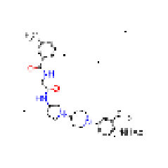 CC(=O)Nc1ccc(N2CCC(N3CC[C@@H](NC(=O)CNC(=O)c4cccc(C(F)(F)F)c4)C3)CC2)cc1C